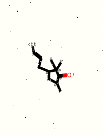 CCC=CCC1CC(C)C(=O)C1(C)C